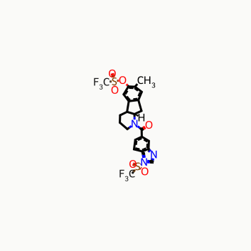 Cc1cc2c(cc1OS(=O)(=O)C(F)(F)F)C1CCCN(C(=O)c3ccc4c(c3)ncn4S(=O)(=O)C(F)(F)F)[C@H]1C2